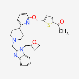 CC(=O)c1ccc(COc2cccc(C3CCN(Cc4nc5ccccc5n4C[C@@H]4CCO4)CC3)n2)s1